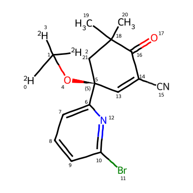 [2H]C([2H])([2H])O[C@]1(c2cccc(Br)n2)C=C(C#N)C(=O)C(C)(C)C1